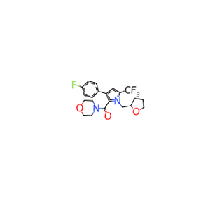 O=C(c1c(-c2ccc(F)cc2)cc(C(F)(F)F)n1CC1CCCO1)N1CCOCC1